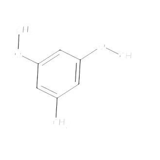 [CH2]c1cc(OC)cc(OC)c1